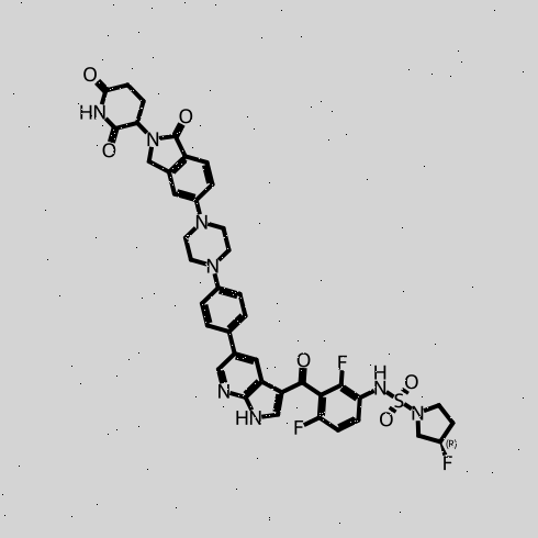 O=C1CCC(N2Cc3cc(N4CCN(c5ccc(-c6cnc7[nH]cc(C(=O)c8c(F)ccc(NS(=O)(=O)N9CC[C@@H](F)C9)c8F)c7c6)cc5)CC4)ccc3C2=O)C(=O)N1